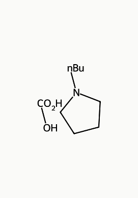 CCCCN1CCCC1.O=C(O)O